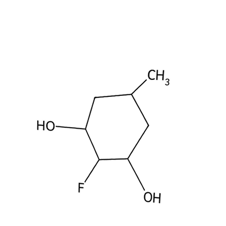 CC1CC(O)C(F)C(O)C1